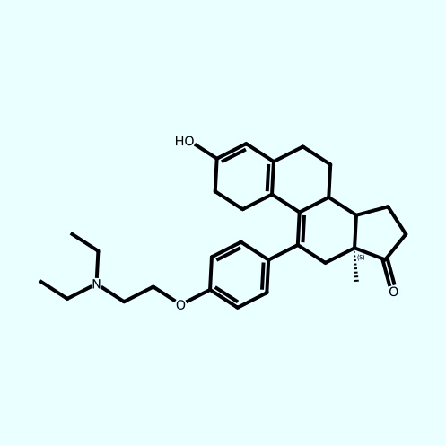 CCN(CC)CCOc1ccc(C2=C3C4=C(C=C(O)CC4)CCC3C3CCC(=O)[C@@]3(C)C2)cc1